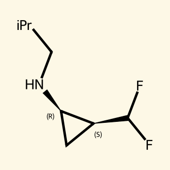 CC(C)CN[C@@H]1C[C@@H]1C(F)F